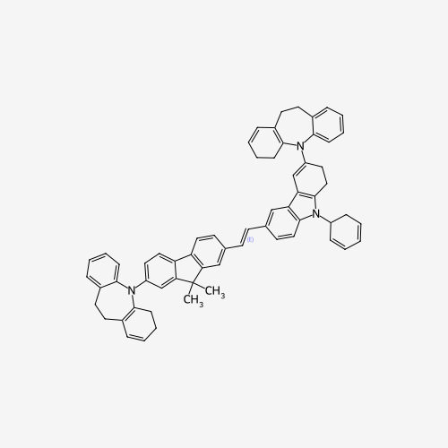 CC1(C)c2cc(/C=C/c3ccc4c(c3)c3c(n4C4C=CC=CC4)CCC(N4C5=C(C=CCC5)CCc5ccccc54)=C3)ccc2-c2ccc(N3C4=C(C=CCC4)CCc4ccccc43)cc21